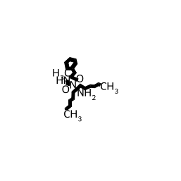 CCCCCCC(N)(CCCCCC)N1C(=O)NC(C)(Cc2ccccc2)C1=O